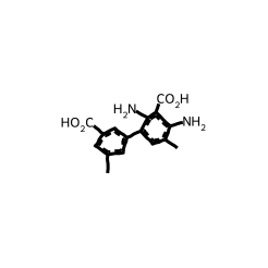 Cc1cc(C(=O)O)cc(-c2cc(C)c(N)c(C(=O)O)c2N)c1